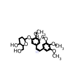 COc1ccc(/C=C\c2cc(OC)c(OC)c(OC)c2)cc1OC1CCC(O)C(CO)O1